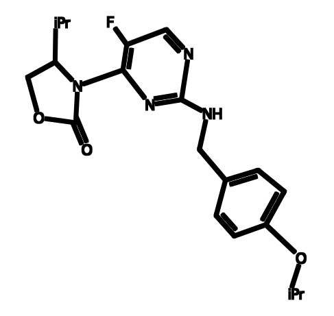 CC(C)Oc1ccc(CNc2ncc(F)c(N3C(=O)OCC3C(C)C)n2)cc1